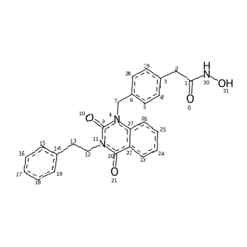 O=C(Cc1ccc(Cn2c(=O)n(CCc3ccccc3)c(=O)c3ccccc32)cc1)NO